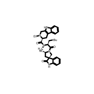 CCN1Cc2[nH]c3ccccc3c2C[C@H]1C(=O)N(C)[C@@H](CC(C)(C)C)C(=O)N1C[C@]2(C[C@H]1C#N)C(=O)Nc1ccccc12